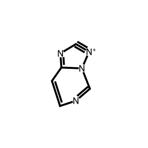 c1nc2ccncn2[n+]#1